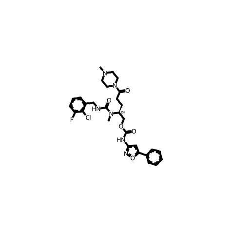 CN1CCN(C(=O)CC[C@@H](COC(=O)Nc2cc(-c3ccccc3)on2)N(C)C(=O)NCc2cccc(F)c2Cl)CC1